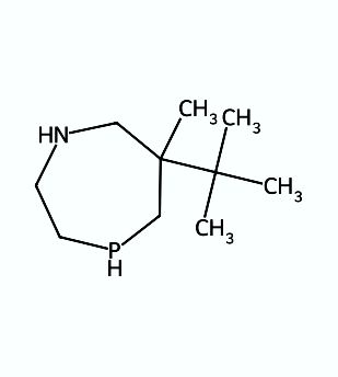 CC(C)(C)C1(C)CNCCPC1